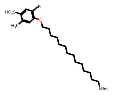 CCCCCCCCCCCCCCCCCCCCCCCCOc1cc(C)c(S(=O)(=O)O)cc1C(C)C